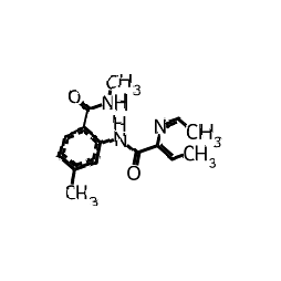 C/C=N\C(=C/C)C(=O)Nc1cc(C)ccc1C(=O)NC